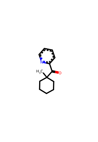 CC1(C(=O)c2ccccn2)CCCCC1